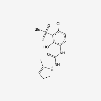 CC1=CCC[C@H]1NC(=O)Nc1ccc(Cl)c(S(=O)(=O)C(C)(C)C)c1O